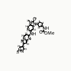 COC(=O)N[C@@H]1CC[C@@H](n2c(=O)n(C)c3cnc(Nc4ccn5nc(-c6cnn(C)c6)cc5n4)cc32)C1